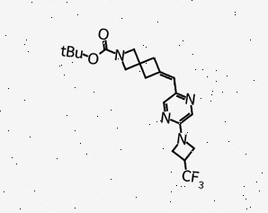 CC(C)(C)OC(=O)N1CC2(CC(=Cc3cnc(N4CC(C(F)(F)F)C4)cn3)C2)C1